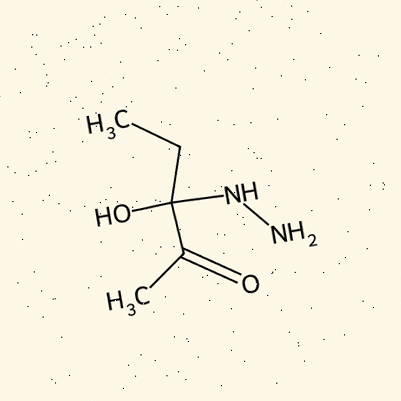 CCC(O)(NN)C(C)=O